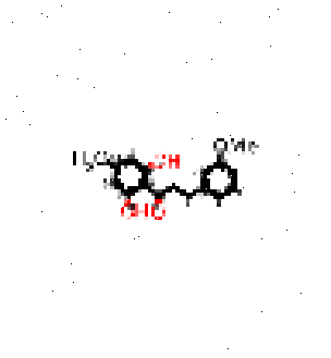 COc1cccc(CCC(=O)c2c(O)cc(C)cc2O)c1